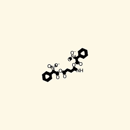 N=C(CCC(=O)OC(=O)C(c1ccccc1)[N+](=O)[O-])OC(=O)C(c1ccccc1)[N+](=O)[O-]